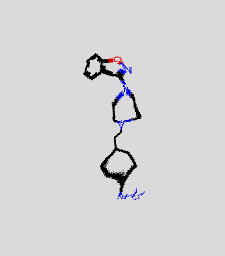 NC1CCC(CCN2CCN(c3noc4ccccc34)CC2)CC1